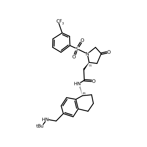 CC(C)(C)NCc1ccc2c(c1)CCC[C@H]2NC(=O)C[C@@H]1CC(=O)CN1S(=O)(=O)c1cccc(C(F)(F)F)c1